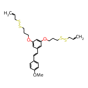 C=CCSSCCCOc1cc(/C=C/c2ccc(OC)cc2)cc(OCCCSSCC=C)c1